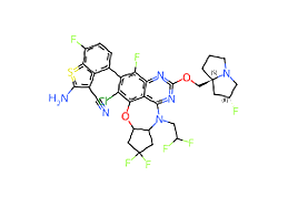 N#Cc1c(N)sc2c(F)ccc(-c3c(Cl)c4c5c(nc(OC[C@@]67CCCN6C[C@H](F)C7)nc5c3F)N(CC(F)F)C3CC(F)(F)CC3O4)c12